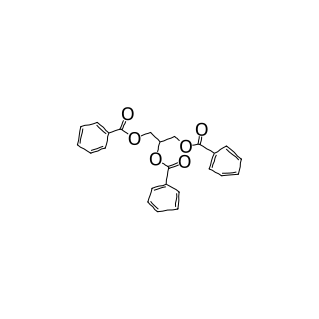 O=C(OCC(COC(=O)c1ccccc1)OC(=O)c1ccccc1)c1ccccc1